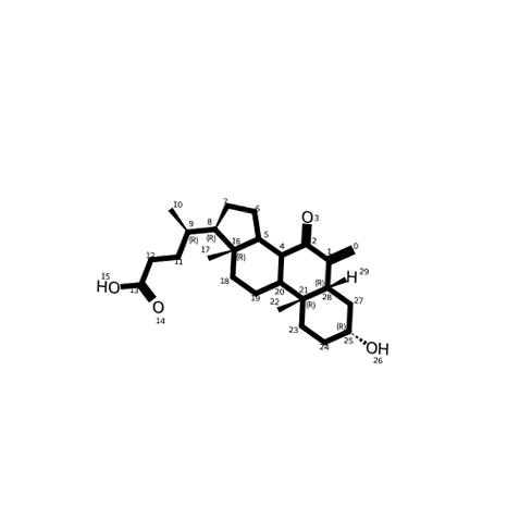 C=C1C(=O)C2C3CC[C@H]([C@H](C)CCC(=O)O)[C@@]3(C)CCC2[C@@]2(C)CC[C@@H](O)C[C@@H]12